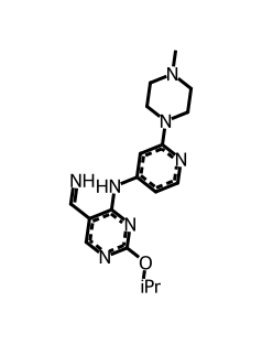 CC(C)Oc1ncc(C=N)c(Nc2ccnc(N3CCN(C)CC3)c2)n1